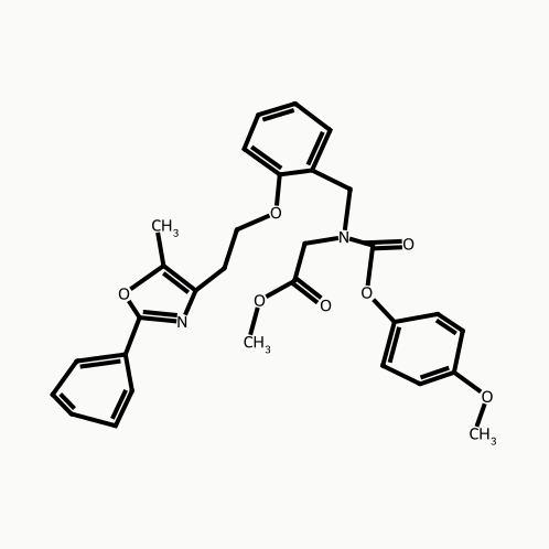 COC(=O)CN(Cc1ccccc1OCCc1nc(-c2ccccc2)oc1C)C(=O)Oc1ccc(OC)cc1